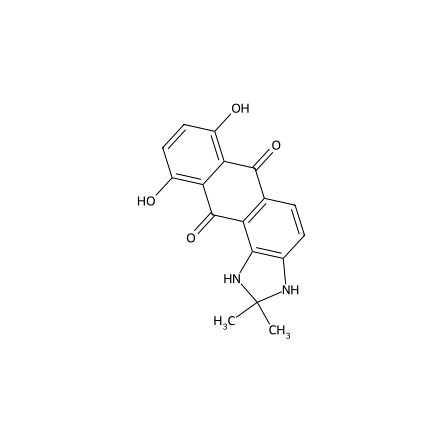 CC1(C)Nc2ccc3c(c2N1)C(=O)c1c(O)ccc(O)c1C3=O